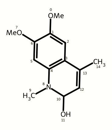 COc1cc2c(cc1OC)N(C)C(O)C=C2C